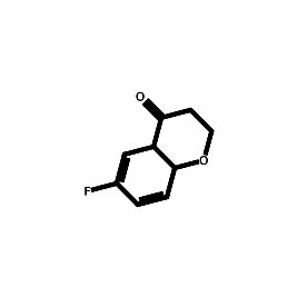 O=C1CCOC2C=CC(F)=CC12